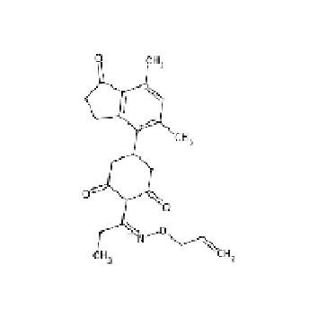 C=CCO/N=C(/CC)C1C(=O)CC(c2c(C)cc(C)c3c2CCC3=O)CC1=O